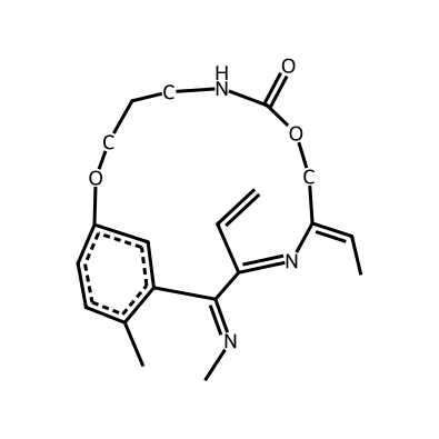 C=C/C1=N\C(=C/C)COC(=O)NCCCOc2ccc(C)c(c2)\C1=N/C